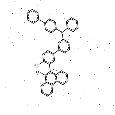 Cc1ccc(-c2cccc(N(c3ccccc3)c3ccc(-c4ccccc4)cc3)c2)cc1-c1c(C)c2ccccc2c2ccccc12